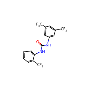 O=C(Nc1cc(C(F)(F)F)cc(C(F)(F)F)c1)Nc1ccccc1C(F)(F)F